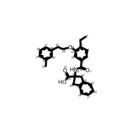 CCc1ccc(C(=O)NC2(C(=O)O)Cc3ccccc3C2)cc1OCCc1cccc(C)c1